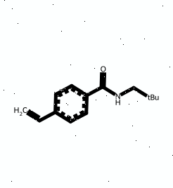 C=Cc1ccc(C(=O)NCC(C)(C)C)cc1